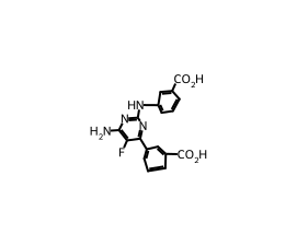 Nc1nc(Nc2cccc(C(=O)O)c2)nc(-c2cccc(C(=O)O)c2)c1F